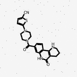 N#Cc1ccc(N2CCN(C(=O)c3ccc4c5c(c(=O)[nH]c4c3)CCCN5)CC2)s1